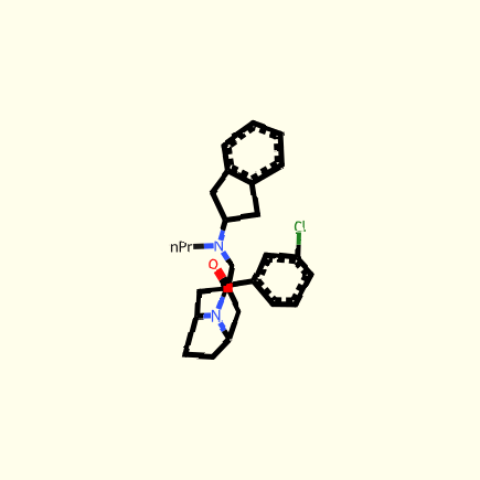 CCCN(CC1CC2CCC(C1)N2C(=O)c1cccc(Cl)c1)C1Cc2ccccc2C1